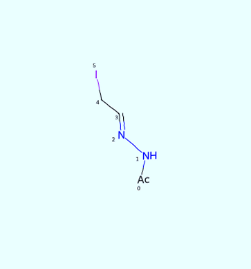 CC(=O)N/N=C/CI